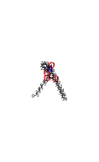 CCCCCCCCCCOc1cc(CN2C(=O)c3ccccc3C2=O)cc(OCCCCCCCCCC)c1